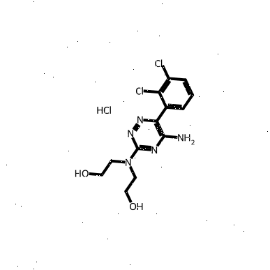 Cl.Nc1nc(N(CCO)CCO)nnc1-c1cccc(Cl)c1Cl